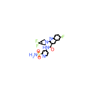 NS(=O)(=O)c1cc(NC(=O)c2cc3cc(F)ccc3nc2N2CC3C(C2)C3(F)F)ccn1